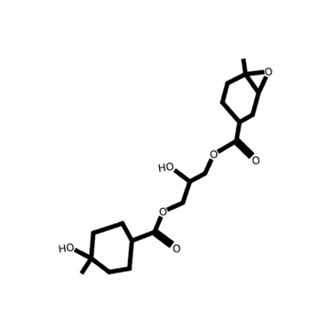 CC1(O)CCC(C(=O)OCC(O)COC(=O)C2CCC3(C)OC3C2)CC1